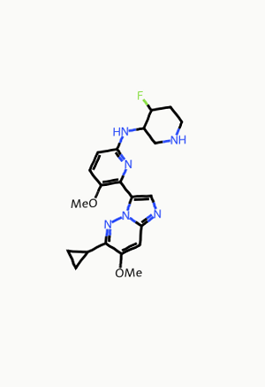 COc1ccc(NC2CNCCC2F)nc1-c1cnc2cc(OC)c(C3CC3)nn12